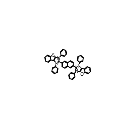 c1ccc(N2B(c3ccc4cc(B5N(c6ccccc6)c6sc7ccccc7c6N5c5ccccc5)ccc4c3)N(c3ccccc3)c3c2oc2ccccc32)cc1